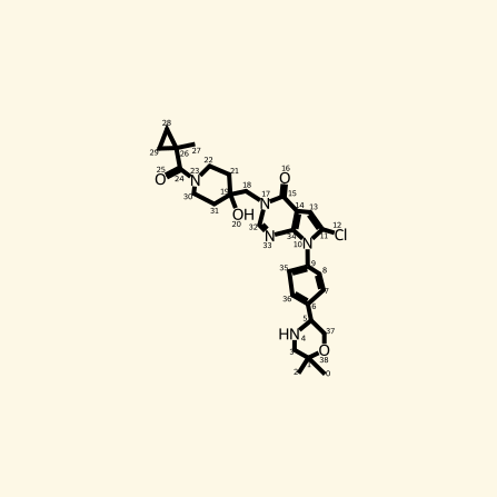 CC1(C)CNC(c2ccc(-n3c(Cl)cc4c(=O)n(CC5(O)CCN(C(=O)C6(C)CC6)CC5)cnc43)cc2)CO1